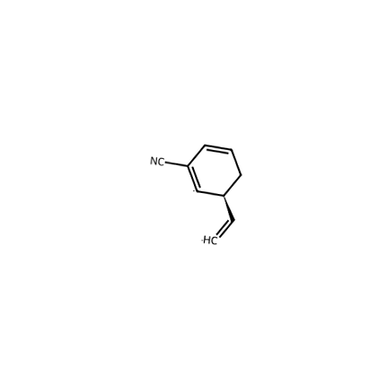 [CH]=C[C@H]1[C]=C(C#N)C=CC1